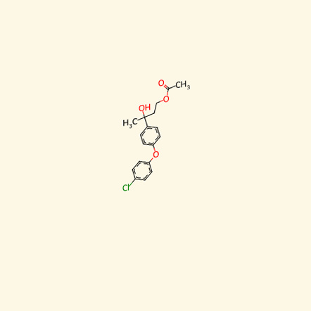 CC(=O)OCCC(C)(O)c1ccc(Oc2ccc(Cl)cc2)cc1